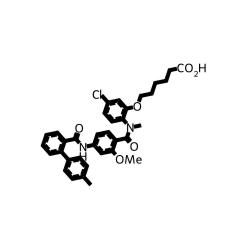 COc1cc(NC(=O)c2ccccc2-c2ccc(C)cc2)ccc1C(=O)N(C)c1ccc(Cl)cc1OCCCCCC(=O)O